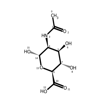 CC(=O)N[C@H]1[C@@H](O)[C@H](O)[C@@H](C(=O)O)O[C@@H]1O